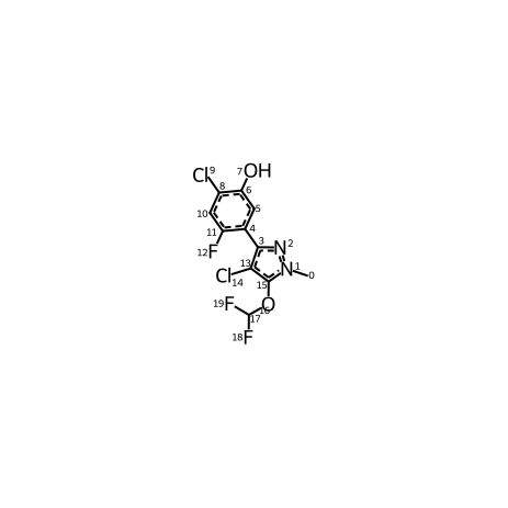 Cn1nc(-c2cc(O)c(Cl)cc2F)c(Cl)c1OC(F)F